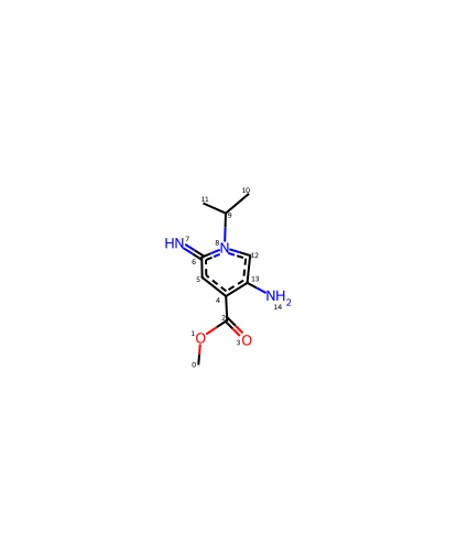 COC(=O)c1cc(=N)n(C(C)C)cc1N